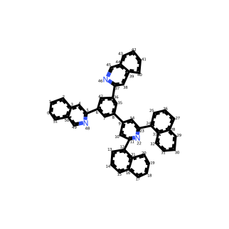 c1ccc2cc(-c3cc(-c4cc(-c5cccc6ccccc56)nc(-c5cccc6ccccc56)c4)cc(-c4cc5ccccc5cn4)c3)ncc2c1